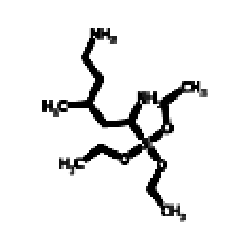 CCO[Si](OCC)(OCC)C(N)CC(C)CCN